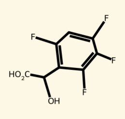 O=C(O)C(O)c1c(F)cc(F)c(F)c1F